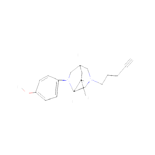 C#CCCCN1C[C@@H]2CN(c3ccc(OCC)cc3)[C@H](C1)C(C)(C)C2